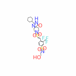 CN(CCO)S(=O)(=O)c1ccc(C=CS(=O)(=O)N2CCC3(CC2)N=C(C2CCCCC2)NC3=O)c(C(F)(F)F)c1